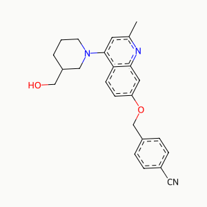 Cc1cc(N2CCCC(CO)C2)c2ccc(OCc3ccc(C#N)cc3)cc2n1